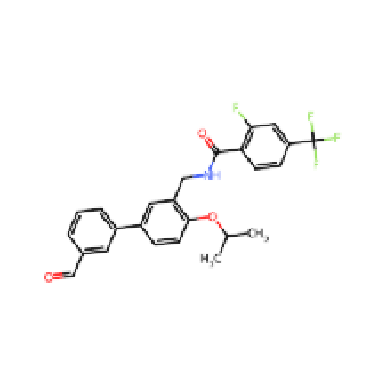 CC(C)Oc1ccc(-c2cccc(C=O)c2)cc1CNC(=O)c1ccc(C(F)(F)F)cc1F